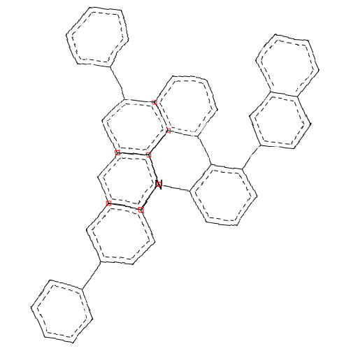 c1ccc(-c2ccc(N(c3ccc(-c4ccccc4)cc3)c3cccc(-c4ccc5ccccc5c4)c3-c3ccccc3-c3ccccc3)cc2)cc1